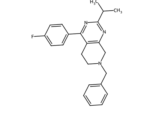 CC(C)c1nc2c(c(-c3ccc(F)cc3)n1)CCN(Cc1ccccc1)C2